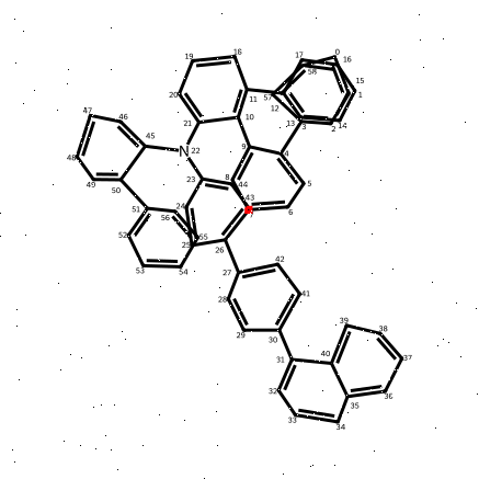 c1ccc(-c2ccccc2-c2c(-c3ccccc3)cccc2N(c2ccc(-c3ccc(-c4cccc5ccccc45)cc3)cc2)c2ccccc2-c2ccccc2)cc1